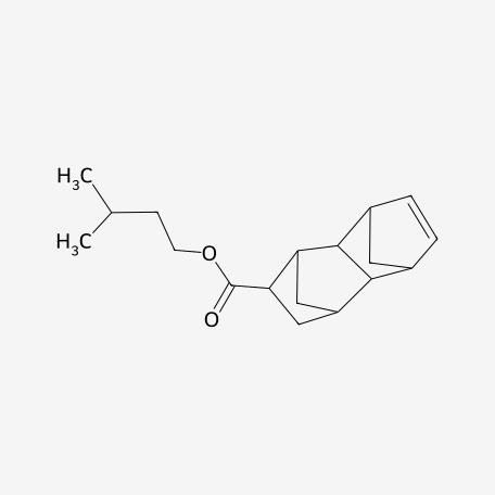 CC(C)CCOC(=O)C1CC2CC1C1C3C=CC(C3)C21